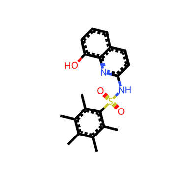 Cc1c(C)c(C)c(S(=O)(=O)Nc2ccc3cccc(O)c3n2)c(C)c1C